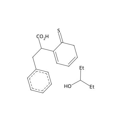 CCC(O)CC.O=C(O)C(Cc1ccccc1)C1=CC=CCC1=S